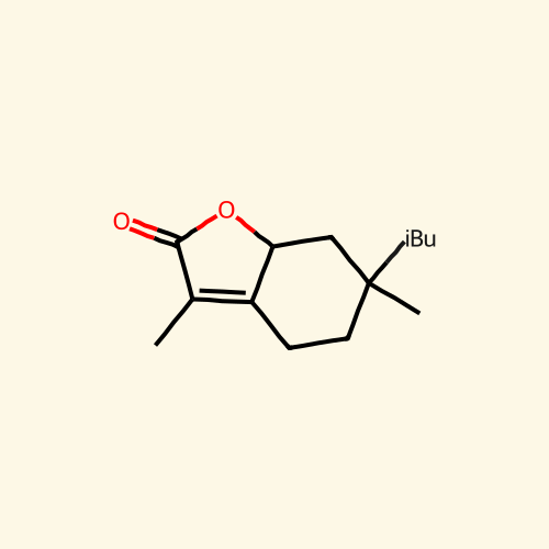 CCC(C)C1(C)CCC2=C(C)C(=O)OC2C1